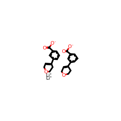 O=C([O-])c1cccc(C2=CCOCC2)c1.O=C([O-])c1cccc(C2=CCOCC2)c1.[Li+].[Li+]